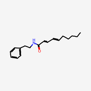 CCCCC/C=C/C=C/C(=O)NCCc1ccccc1